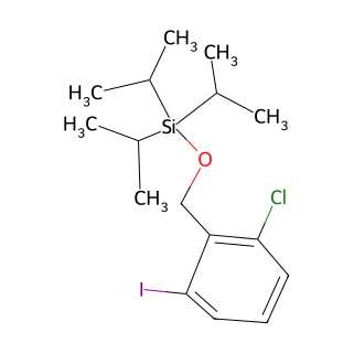 CC(C)[Si](OCc1c(Cl)cccc1I)(C(C)C)C(C)C